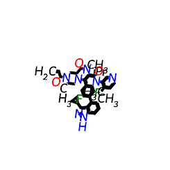 C=CC(=O)N1CC2C(=O)N(C)c3c(c4cc(F)c(-c5c(C)ccc6[nH]nc(C7CC7)c56)c(F)c4n(-c4c(C)ccnc4C(C)C)c3=O)N2CC1C